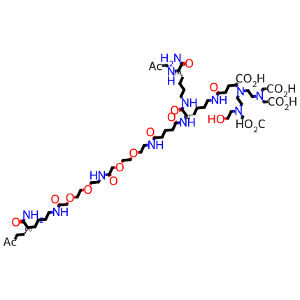 CC(=O)CC[C@@H](CCCCNC(=O)COCCOCCNC(=O)COCCOCCNC(=O)CCCC(=O)N[C@@H](CCCCNC(=O)CCC(C(=O)O)N(CCN(CCO)CC(=O)O)CCN(CC(=O)O)CC(=O)O)C(=O)NCCCC[C@H](NCC(C)=O)C(N)=O)C(N)=O